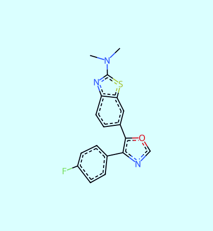 CN(C)c1nc2ccc(-c3ocnc3-c3ccc(F)cc3)cc2s1